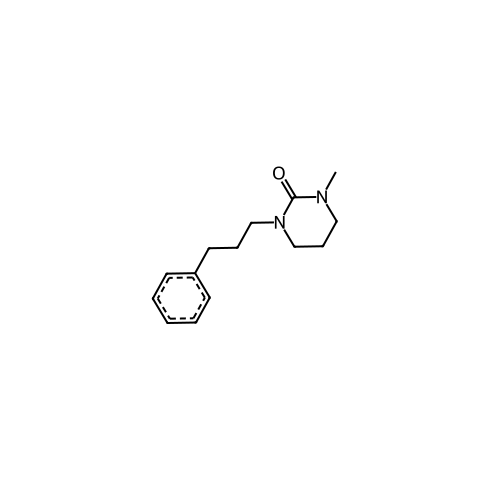 CN1CCCN(CCCc2ccccc2)C1=O